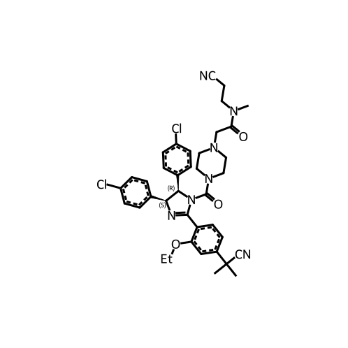 CCOc1cc(C(C)(C)C#N)ccc1C1=N[C@@H](c2ccc(Cl)cc2)[C@@H](c2ccc(Cl)cc2)N1C(=O)N1CCN(CC(=O)N(C)CCC#N)CC1